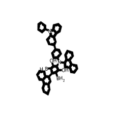 Bc1c(O)c(N(c2ccc(-c3ccc4c(c3)c3ccccc3n4-c3ccccc3)cc2)c2cc3ccccc3c3ccccc23)c(O)c(B)c1-c1cc2ccccc2c2ccccc12